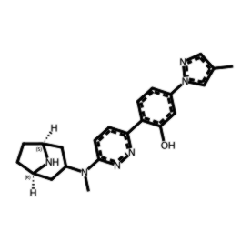 Cc1cnn(-c2ccc(-c3ccc(N(C)C4C[C@H]5CC[C@@H](C4)N5)nn3)c(O)c2)c1